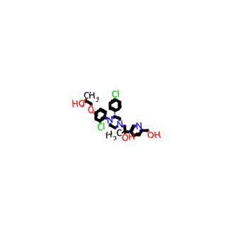 C[C@H](O)COc1ccc(N2CCN(C[C@@](C)(O)c3ccc(CO)nc3)C[C@H]2c2ccc(Cl)cc2)c(Cl)c1